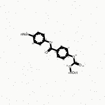 CCCCCCCCCc1ccc(OC(=O)c2ccc(OC(=O)OCCCCCCCC)cc2)cc1